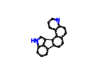 c1cc2c3c(c[nH]c3c1)-c1c-2ccc2ccc3ncccc3c12